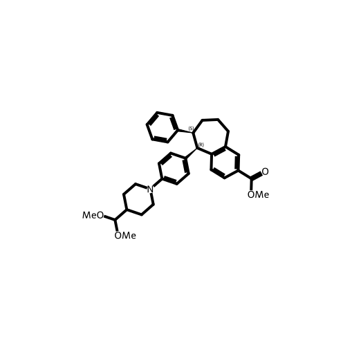 COC(=O)c1ccc2c(c1)CCC[C@H](c1ccccc1)[C@@H]2c1ccc(N2CCC(C(OC)OC)CC2)cc1